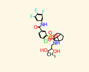 CC(O)C(O)CNC(=O)[C@]1(O)C2CCC1C[C@@H](S(=O)(=O)c1cc(C(=O)Nc3cc(F)c(F)c(F)c3)ccc1Cl)C2